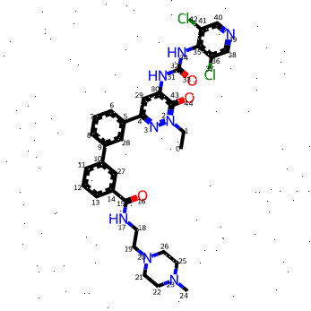 CCn1nc(-c2cccc(-c3cccc(C(=O)NCCN4CCN(C)CC4)c3)c2)cc(NC(=O)Nc2c(Cl)cncc2Cl)c1=O